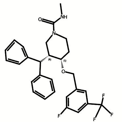 CNC(=O)N1CC[C@H](OCc2cc(F)cc(C(F)(F)F)c2)[C@H](C(c2ccccc2)c2ccccc2)C1